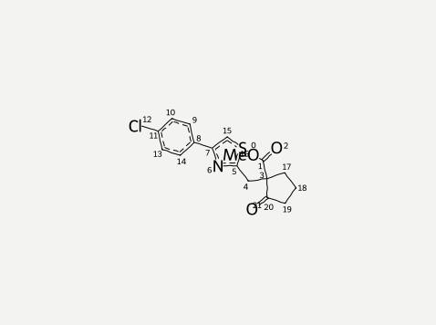 COC(=O)C1(Cc2nc(-c3ccc(Cl)cc3)cs2)CCCC1=O